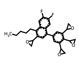 CCCCCc1c(C2CO2)cc(-c2cc(C3CO3)c(C3CO3)c(C3CO3)c2)c2cc(F)c(F)cc12